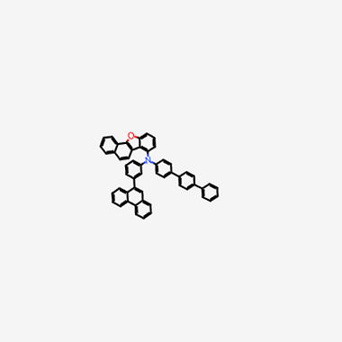 c1ccc(-c2ccc(-c3ccc(N(c4cccc(-c5cc6ccccc6c6ccccc56)c4)c4cccc5oc6c7ccccc7ccc6c45)cc3)cc2)cc1